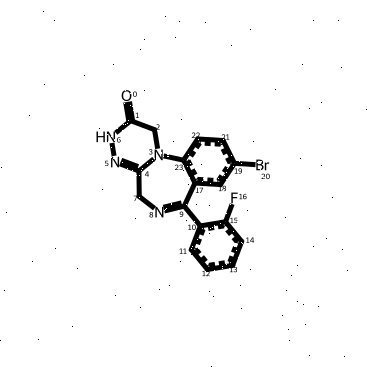 O=C1CN2C(=NN1)CN=C(c1ccccc1F)c1cc(Br)ccc12